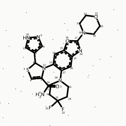 NC(=O)C1=CSC(c2cn[nH]c2)N1c1cc2oc(N3CCOCC3)nc2cc1N1CCC(F)(F)CC1